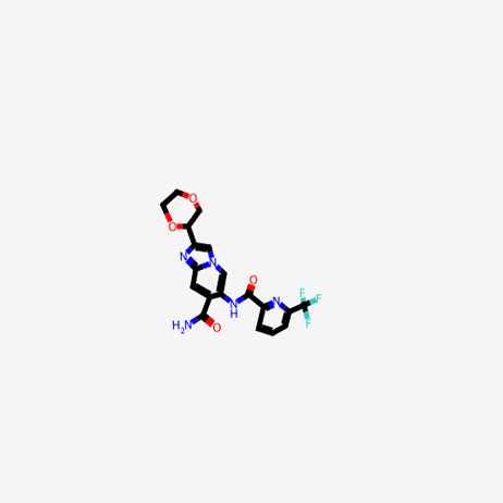 NC(=O)c1cc2nc(C3COCCO3)cn2cc1NC(=O)c1cccc(C(F)(F)F)n1